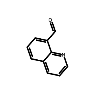 O=Cc1cccc2c[c]cnc12